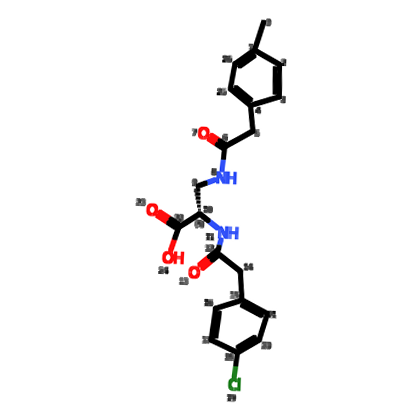 Cc1ccc(CC(=O)NC[C@H](NC(=O)Cc2ccc(Cl)cc2)C(=O)O)cc1